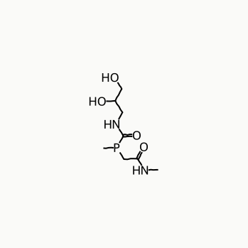 CNC(=O)CP(C)C(=O)NCC(O)CO